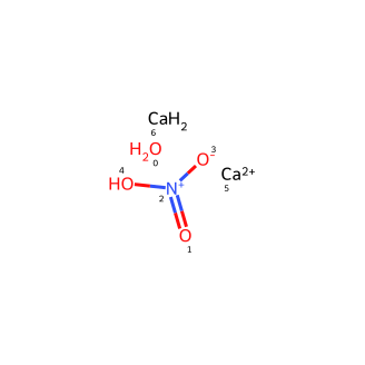 O.O=[N+]([O-])O.[Ca+2].[CaH2]